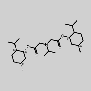 CC(C)C1CC[C@@H](C)C[C@H]1OC(=O)CN(CC(=O)O[C@@H]1C[C@H](C)CC[C@H]1C(C)C)C(C)C